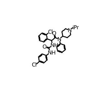 CC(C)N1CCC(N(C(=O)C(NC(=O)Nc2ccc(Cl)cc2)c2ccccc2Cl)c2ccccc2)CC1